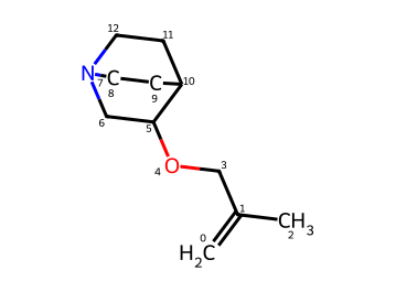 C=C(C)COC1CN2CCC1CC2